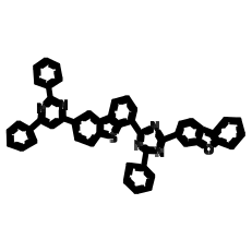 c1ccc(-c2cc(-c3ccc4sc5c(-c6nc(-c7ccccc7)nc(-c7ccc8c(c7)oc7ccccc78)n6)cccc5c4c3)nc(-c3ccccc3)n2)cc1